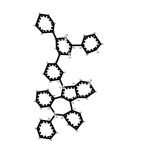 c1ccc(-c2cc(-c3cccc(-n4c5c(c6ccncc64)-c4ccccc4N(c4ccccc4)c4ccccc4-5)c3)nc(-c3ccccc3)n2)cc1